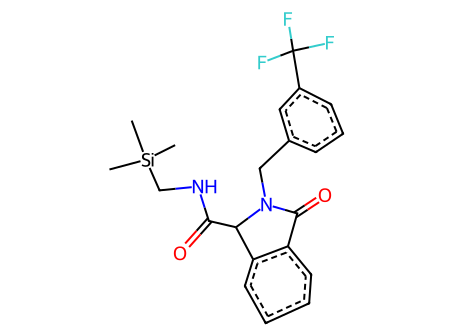 C[Si](C)(C)CNC(=O)C1c2ccccc2C(=O)N1Cc1cccc(C(F)(F)F)c1